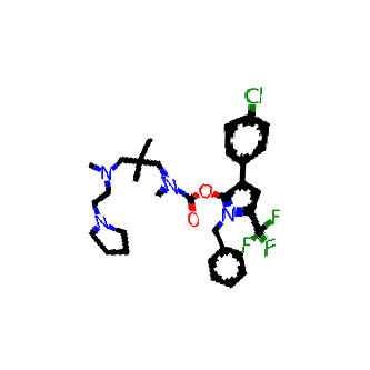 CN(CCN1CCCC1)CC(C)(C)CN(C)C(=O)Oc1c(-c2ccc(Cl)cc2)cc(C(F)(F)F)n1Cc1ccccc1